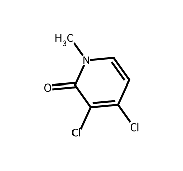 Cn1ccc(Cl)c(Cl)c1=O